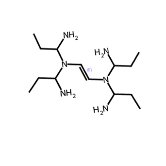 CCC(N)N(/C=C/N(C(N)CC)C(N)CC)C(N)CC